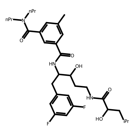 CCCN(CCC)C(=O)c1cc(C)cc(C(=O)NC(Cc2cc(F)cc(F)c2)C(O)CCNC(=O)C(O)CC(C)C)c1